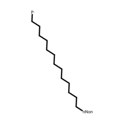 CCCCCCCCCCCCCCCCCCCCCC[P]